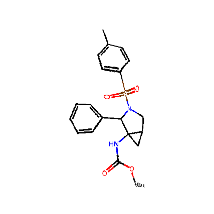 Cc1ccc(S(=O)(=O)N2CC3CC3(NC(=O)OC(C)(C)C)C2c2ccccc2)cc1